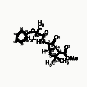 COC(=O)C1N2C(=O)C(NC(=O)C(C)(C)Oc3ccccc3)[C@@H]2SC1(C)C